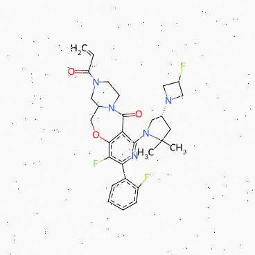 C=CC(=O)N1CCN2C(=O)c3c(N4C[C@H](N5CC(F)C5)CC4(C)C)nc(-c4ccccc4F)c(F)c3OCC2C1